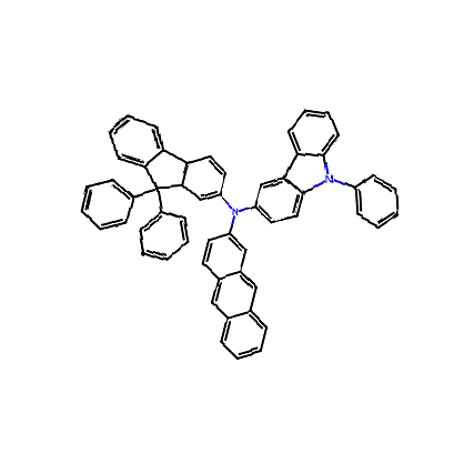 C1=CC2c3ccccc3C(c3ccccc3)(c3ccccc3)C2C=C1N(c1ccc2cc3ccccc3cc2c1)c1ccc2c(c1)c1ccccc1n2-c1ccccc1